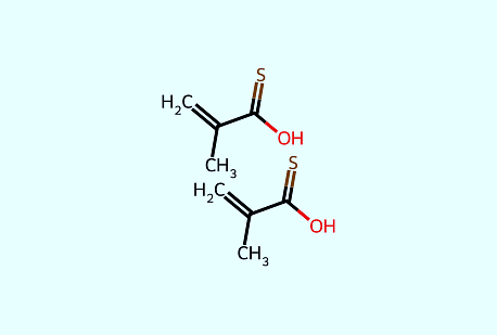 C=C(C)C(O)=S.C=C(C)C(O)=S